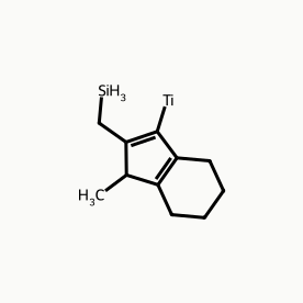 CC1C(C[SiH3])=[C]([Ti])C2=C1CCCC2